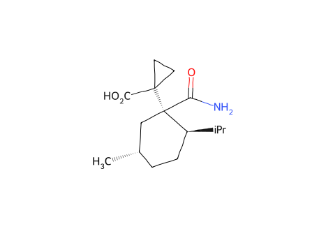 CC(C)[C@H]1CC[C@H](C)C[C@]1(C(N)=O)C1(C(=O)O)CC1